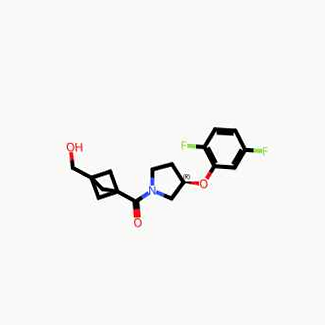 O=C(N1CC[C@@H](Oc2cc(F)ccc2F)C1)C12CC(CO)(C1)C2